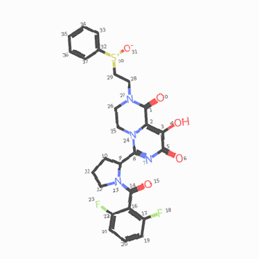 O=C1c2c(O)c(=O)nc(C3CCCN3C(=O)c3c(F)cccc3F)n2CCN1CC[S+]([O-])c1ccccc1